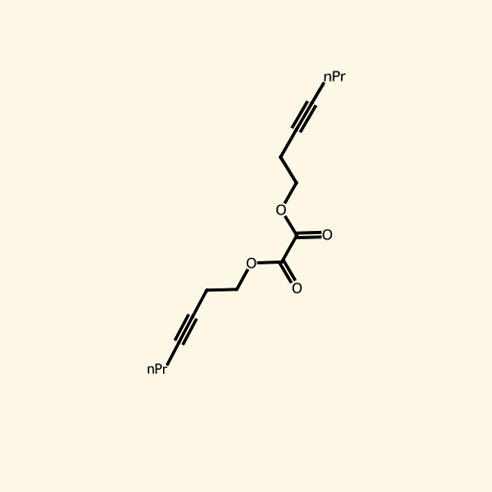 CCCC#CCCOC(=O)C(=O)OCCC#CCCC